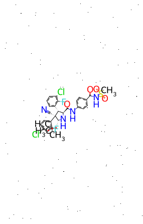 CC(C)(C)C[C@H]1N[C@H](C(=O)Nc2ccc(C(=O)NS(C)(=O)=O)cc2)[C@@H](c2cccc(Cl)c2F)[C@]1(C#N)c1ccc(Cl)cc1F